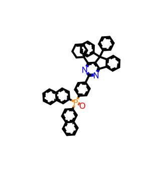 O=P(c1ccc(-c2nc(C3=CC=CCC3)c3c(n2)-c2ccccc2C3(c2ccccc2)c2ccccc2)cc1)(c1ccc2ccccc2c1)c1ccc2ccccc2c1